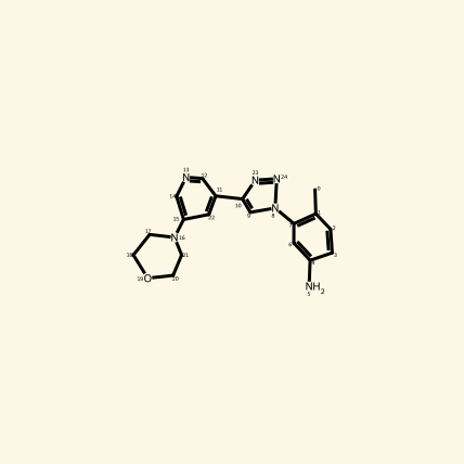 Cc1ccc(N)cc1-n1cc(-c2cncc(N3CCOCC3)c2)nn1